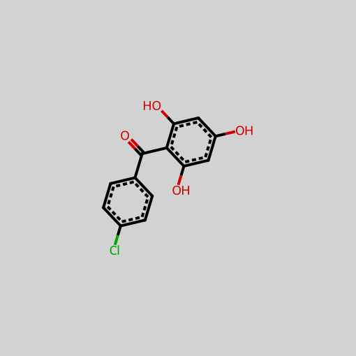 O=C(c1ccc(Cl)cc1)c1c(O)cc(O)cc1O